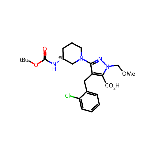 COCn1nc(N2CCC[C@@H](NC(=O)OC(C)(C)C)C2)c(Cc2ccccc2Cl)c1C(=O)O